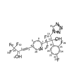 OC(C#Cc1ccc(C(F)(F)C(O)(Cn2cnnn2)c2ccc(F)cc2F)nc1)C(F)(F)F